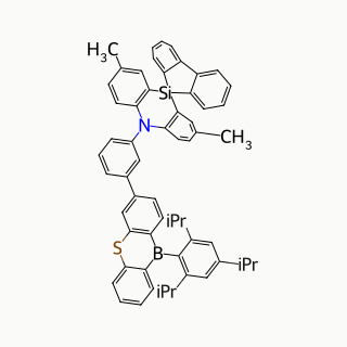 Cc1ccc2c(c1)[Si]1(c3ccccc3-c3ccccc31)c1cc(C)ccc1N2c1cccc(-c2ccc3c(c2)Sc2ccccc2B3c2c(C(C)C)cc(C(C)C)cc2C(C)C)c1